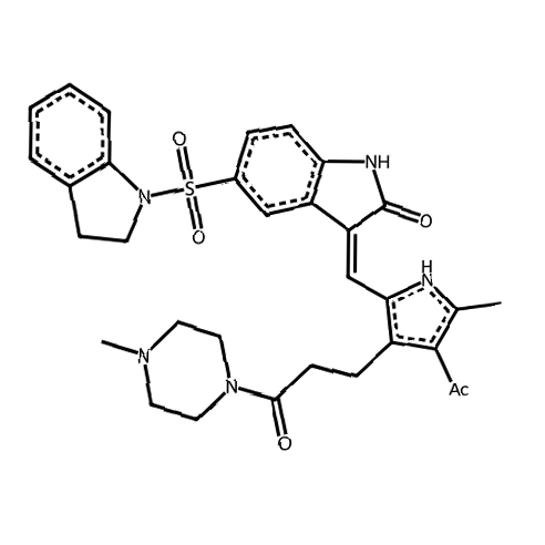 CC(=O)c1c(C)[nH]c(C=C2C(=O)Nc3ccc(S(=O)(=O)N4CCc5ccccc54)cc32)c1CCC(=O)N1CCN(C)CC1